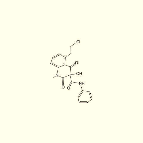 CN1C(=O)C(O)(C(=O)Nc2ccccc2)C(=O)c2c(CCCl)cccc21